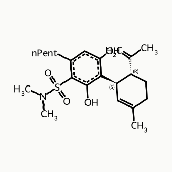 C=C(C)[C@@H]1CCC(C)=C[C@H]1c1c(O)cc(CCCCC)c(S(=O)(=O)N(C)C)c1O